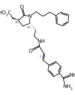 N=C(N)c1ccc(/C=C/C(=O)NCC[C@@H]2C[C@@H](CC(=O)O)C(=O)N2CCCc2ccccc2)cc1